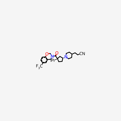 CC(C)[C@]1(C(=O)N2COc3ccc(C(F)(F)F)cc3C2)CC[C@@H](N2CCC(CCC#N)CC2)C1